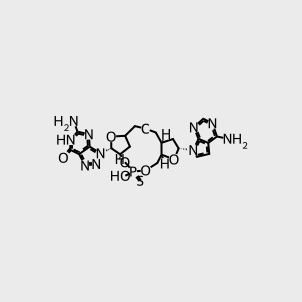 Nc1nc2c(nnn2[C@@H]2OC3CCC[C@H]4C[C@H](n5ccc6c(N)ncnc65)O[C@@H]4COP(O)(=S)O[C@@H]2C3)c(=O)[nH]1